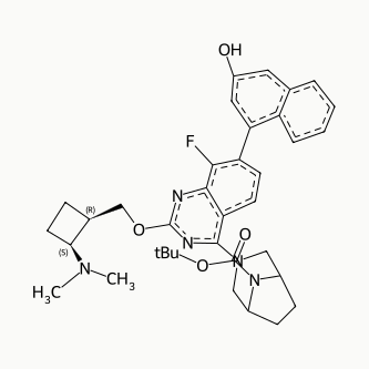 CN(C)[C@H]1CC[C@H]1COc1nc(N2CC3CCC(C2)N3C(=O)OC(C)(C)C)c2ccc(-c3cc(O)cc4ccccc34)c(F)c2n1